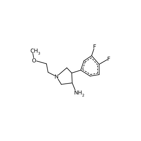 COCCN1CC(N)C(c2ccc(F)c(F)c2)C1